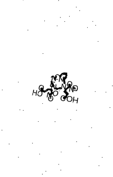 CN1CCN(C(CCC(=O)O)C(=O)N=O)CCN(C(CCC(=O)O)C(=O)N=O)Cc2cccc(n2)C1